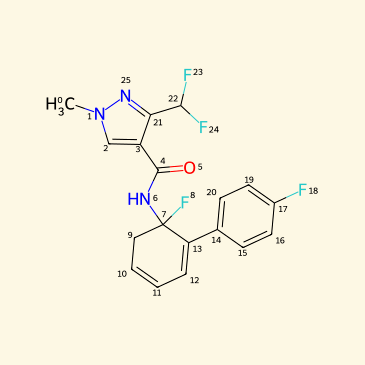 Cn1cc(C(=O)NC2(F)CC=CC=C2c2ccc(F)cc2)c(C(F)F)n1